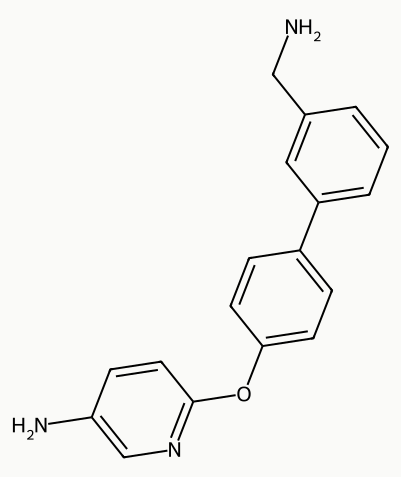 NCc1cccc(-c2ccc(Oc3ccc(N)cn3)cc2)c1